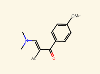 COc1ccc(C(=O)C(=CN(C)C)C(C)=O)cc1